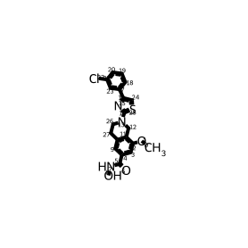 COc1cc(C(=O)NO)cc2c1CN(c1nc(-c3cccc(Cl)c3)cs1)CC2